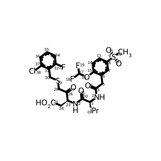 CC(C)[C@H](NC(=O)Cc1cc(S(C)(=O)=O)ccc1OC(F)F)C(=O)N[C@@H](CC(=O)O)C(=O)CSCc1c(F)cccc1Cl